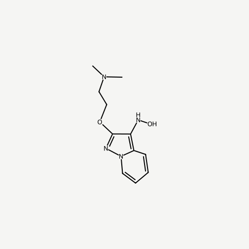 CN(C)CCOc1nn2ccccc2c1NO